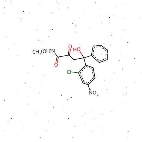 CN(O)C(=O)C(=O)CC(O)(c1ccccc1)c1ccc([N+](=O)[O-])cc1Cl